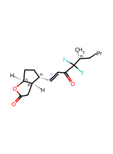 CC(C)C[C@@H](C)C(F)(F)C(=O)/C=C/[C@H]1CC[C@@H]2OC(=O)C[C@@H]21